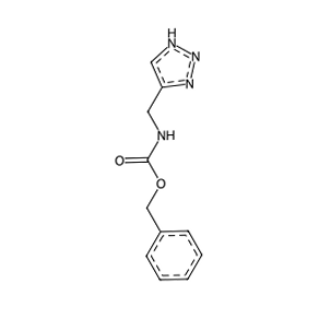 O=C(NCc1c[nH]nn1)OCc1ccccc1